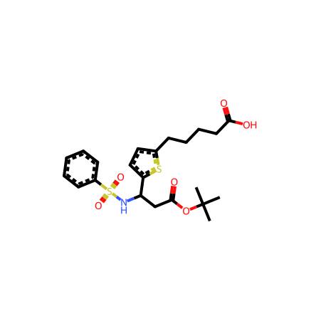 CC(C)(C)OC(=O)CC(NS(=O)(=O)c1ccccc1)c1ccc(CCCCC(=O)O)s1